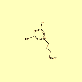 CCCCCCCCCC[n+]1cc(CC)cc(CC)c1